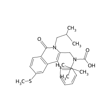 CSc1ccc2c(=O)n(CC(C)C)c(CN(C(=O)O)C(C)(C)C)c(-c3ccccc3)c2c1